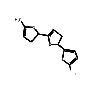 CC1=CCC(C2=CCC(c3ccc(C)s3)S2)S1